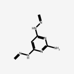 C=NNc1cc(NN=C)nc(N)n1